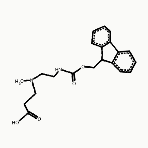 CN(CCNC(=O)OCC1c2ccccc2-c2ccccc21)CCC(=O)O